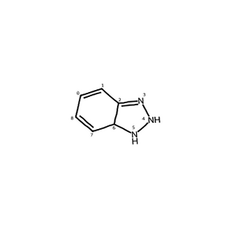 C1=CC2=NNNC2C=C1